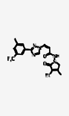 CCC1=C(C)CN(NC(=O)/C=C\n2cnc(-c3cc(C)cc(C(F)(F)F)c3)n2)C1=O